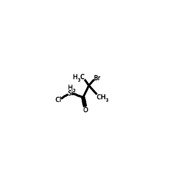 CC(C)(Br)C(=O)[SiH2]Cl